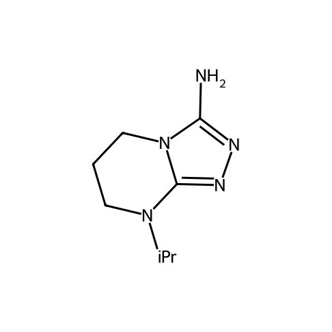 CC(C)N1CCCn2c(N)nnc21